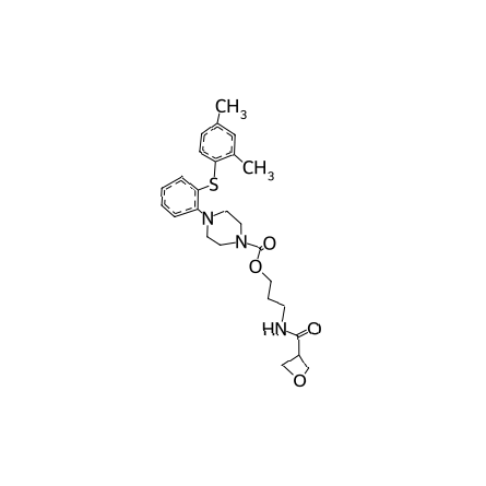 Cc1ccc(Sc2ccccc2N2CCN(C(=O)OCCCNC(=O)C3COC3)CC2)c(C)c1